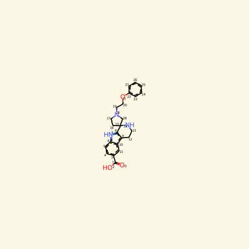 O=C(O)c1ccc2[nH]c3c(c2c1)CCNC31CCN(CCOc2ccccc2)C1